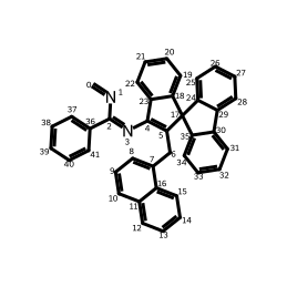 C=N/C(=N\C1=C(Cc2cccc3ccccc23)C2(c3ccccc31)c1ccccc1-c1ccccc12)c1ccccc1